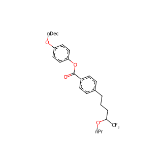 CCCCCCCCCCOc1ccc(OC(=O)c2ccc(CCCC(OCCC)C(F)(F)F)cc2)cc1